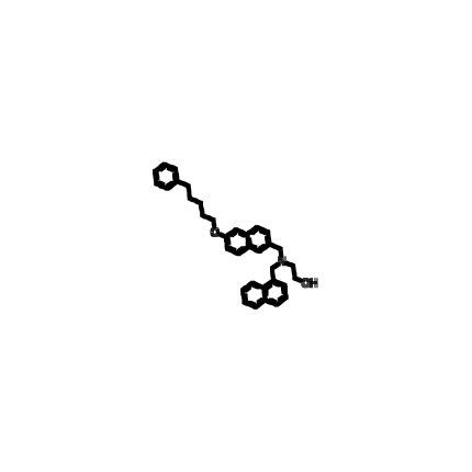 OCCN(Cc1ccc2cc(OCCCCCc3ccccc3)ccc2c1)Cc1cccc2ccccc12